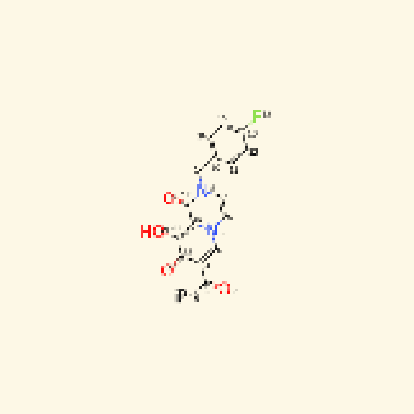 CC(C)C(=O)c1cn2ccn(Cc3ccc(F)cc3)c(=O)c2c(O)c1=O